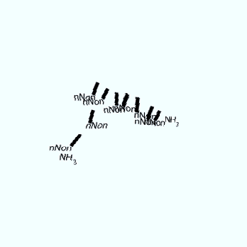 CCCCCCCCCC.CCCCCCCCCC.CCCCCCCCCC.CCCCCCCCCC.CCCCCCCCCC.CCCCCCCCCC.CCCCCCCCCC.CCCCCCCCCC.CCCCCCCCCC.N.N